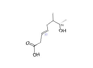 CC(C/C=C/CC(=O)O)[C@H](C)O